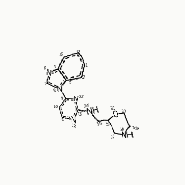 c1ccc2c(c1)ncn2-c1ccnc(NCC2CNCCO2)n1